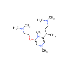 CC(CCN(C)C)C1=CN(C)C=C(OCCN(C)C)N1C